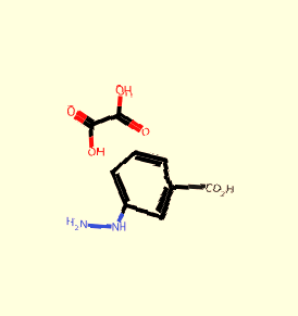 NNc1cccc(C(=O)O)c1.O=C(O)C(=O)O